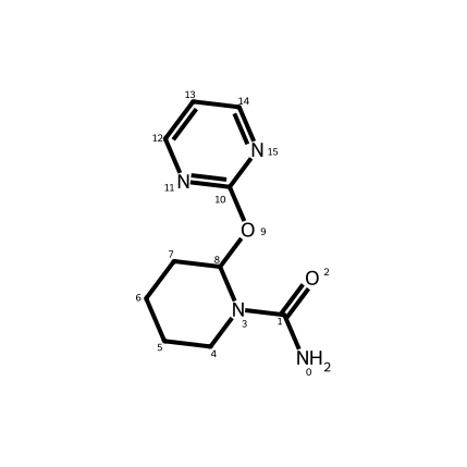 NC(=O)N1CCCCC1Oc1ncccn1